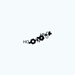 CC(C)(C)OC(=O)Nc1ccc2nn(C3CCC(CO)CC3)cc2c1